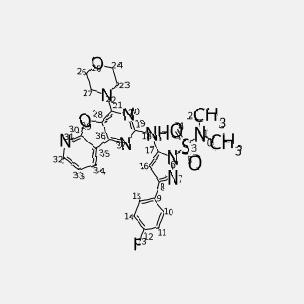 CN(C)S(=O)(=O)n1nc(-c2ccc(F)cc2)cc1Nc1nc(N2CCOCC2)c2oc3ncccc3c2n1